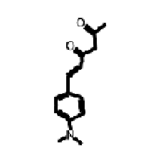 CC(=O)CC(=O)/C=C/c1ccc(N(C)C)cc1